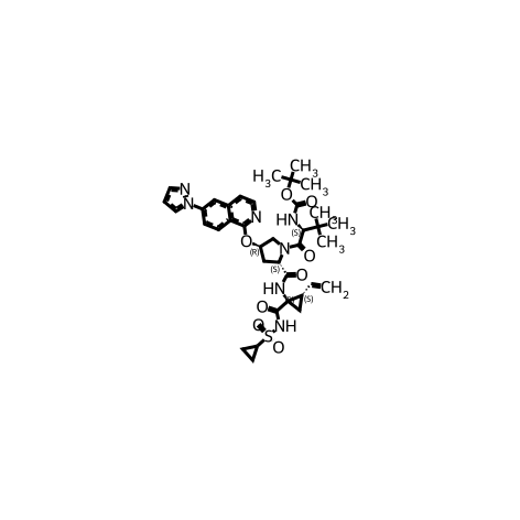 C=C[C@@H]1C[C@]1(NC(=O)[C@@H]1C[C@@H](Oc2nccc3cc(-n4cccn4)ccc23)CN1C(=O)[C@@H](NC(=O)OC(C)(C)C)C(C)(C)C)C(=O)NS(=O)(=O)C1CC1